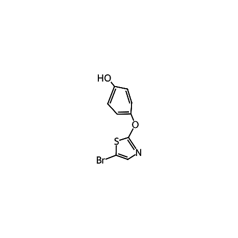 Oc1ccc(Oc2ncc(Br)s2)cc1